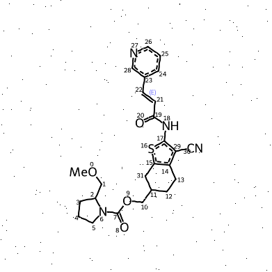 COCC1CCCN1C(=O)OCC1CCc2c(sc(NC(=O)/C=C/c3cccnc3)c2C#N)C1